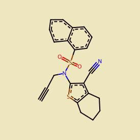 C#CCN(c1sc2c(c1C#N)CCCC2)S(=O)(=O)c1cccc2ccccc12